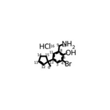 CC1(c2cc(Br)c(O)c(CN)c2)C=CCC1.Cl